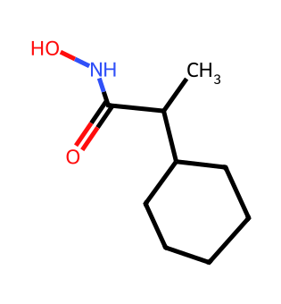 CC(C(=O)NO)C1CCCCC1